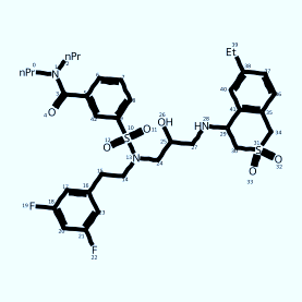 CCCN(CCC)C(=O)c1cccc(S(=O)(=O)N(CCc2cc(F)cc(F)c2)CC(O)CNC2CS(=O)(=O)Cc3ccc(CC)cc32)c1